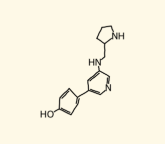 Oc1ccc(-c2cncc(NCC3CCCN3)c2)cc1